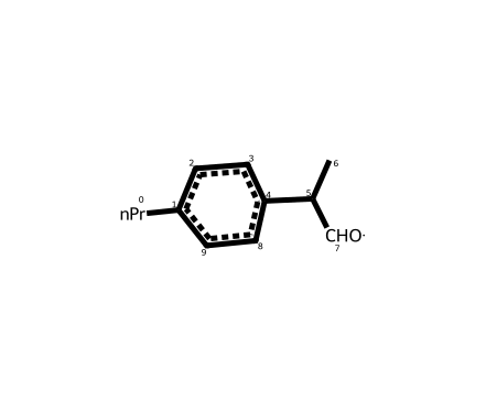 CCCc1ccc(C(C)[C]=O)cc1